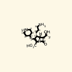 C[C@@H](O)[C@H]1C(=O)N2C(C(=O)O)=C(SC3CCNCC3)[C@H](CCCN)[C@H]12